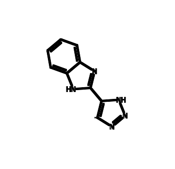 [c]1nn[nH]c1-c1nc2ccccc2[nH]1